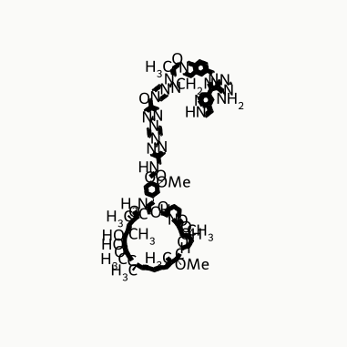 C=N/C(=N\C=C(/C)C(=O)N1CCc2cc(Cn3nc(-c4cnc5[nH]ccc5c4)c4c(N)ncnc43)ccc2C1)N1CCN(C(=O)c2cnc(N3CCN(c4ncc(CNC(=O)O[C@@H]5CC[C@@H](C[C@@H](N)[C@@H]6CC(=O)[C@H](C)/C=C(\C)[C@@H](O)[C@@H](O)C(=O)[C@H](C)C[C@H](C)/C=C/C=C/C=C(\C)[C@@H](OC)C[C@@H]7CC[C@@H](C)[C@@](O)(O7)C(=O)C(=O)N7CCCC[C@H]7C(=O)O6)C[C@H]5OC)cn4)CC3)nc2)CC1